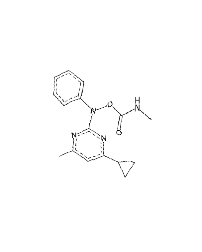 CNC(=O)ON(c1ccccc1)c1nc(C)cc(C2CC2)n1